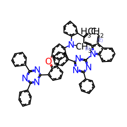 C=C(/C=c1\c(=C/C)c2ccccc2n1-c1nc(-c2ccccc2)nc(-c2ccccc2)n1)c1ccccc1N(C)c1ccc2oc3c(-c4nc(-c5ccccc5)nc(-c5ccccc5)n4)cccc3c2c1